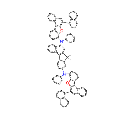 CC1(C)c2cc(N(c3ccccc3)c3cccc4c3oc3c(-c5cccc6ccccc56)cc5ccccc5c34)ccc2-c2c1cc(N(c1ccccc1)c1cccc3c1oc1c(-c4cccc5ccccc45)cc4ccccc4c13)c1ccccc21